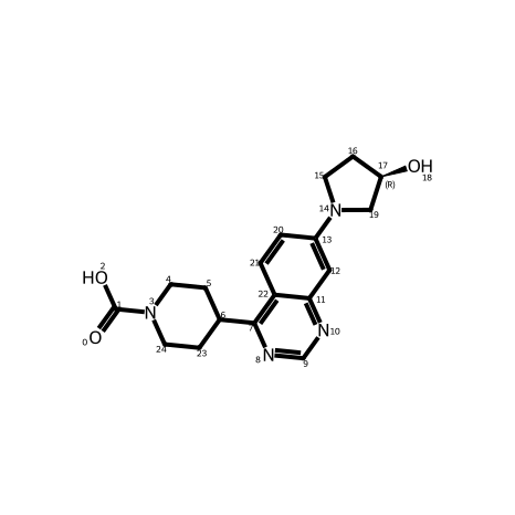 O=C(O)N1CCC(c2ncnc3cc(N4CC[C@@H](O)C4)ccc23)CC1